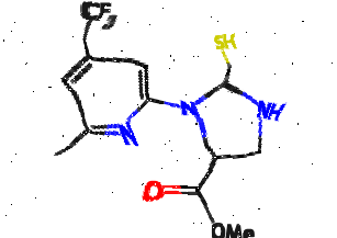 COC(=O)C1CNC(S)N1c1cc(C(F)(F)F)cc(C)n1